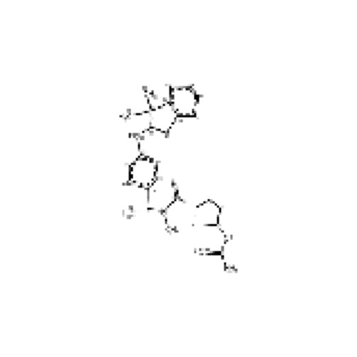 CN(C(=O)[C@@H]1CC[C@H](OC(N)=O)C1)[C@@H](c1ccc(NC2Cc3ccccc3C2(C)C)cn1)C(F)(F)F